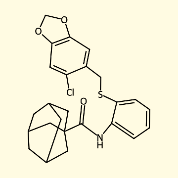 O=C(Nc1ccccc1SCc1cc2c(cc1Cl)OCO2)C12CC3CC(CC(C3)C1)C2